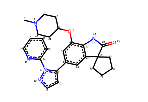 CN1CCC(Oc2cc(-c3ccnn3-c3ccccn3)cc3c2NC(=O)C32CCCC2)CC1